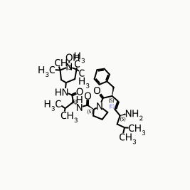 CC(C)C[C@H](N)/C=C/[C@H](Cc1ccccc1)C(=O)N1CCC[C@H]1C(=O)N[C@@H](C(=O)NC1CC(C)(C)N(O)C(C)(C)C1)C(C)C